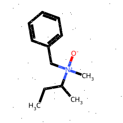 CCC(C)[N+](C)([O-])Cc1ccccc1